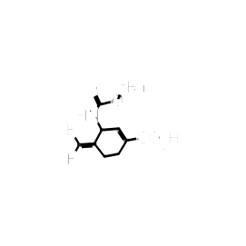 CC(C)(C)OC(=O)NC1C=C(C(=O)O)CCC1=C(F)F